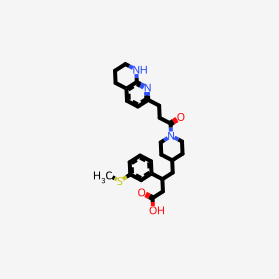 CSc1cccc(C(CC(=O)O)CC2CCN(C(=O)CCc3ccc4c(n3)NCCC4)CC2)c1